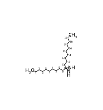 CCCCCCCCCCC1(CCCCCCCCCC)NN1